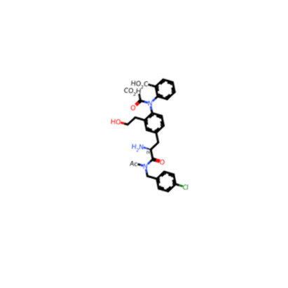 CC(=O)N(Cc1ccc(Cl)cc1)C(=O)[C@@H](N)Cc1ccc(N(C(=O)C(=O)O)c2ccccc2C(=O)O)c(CCO)c1